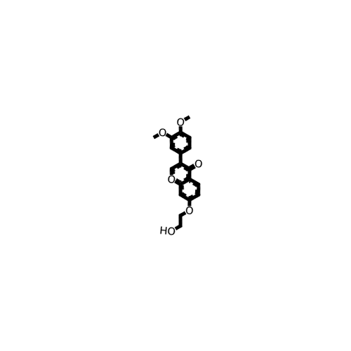 COc1ccc(-c2coc3cc(OCCO)ccc3c2=O)cc1OC